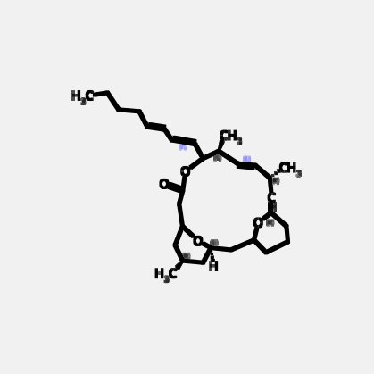 CCCCC=C/C=C/C1OC(=O)CC2C[C@H](C)C[C@H](CC3CCC[C@H](C[C@@H](C)/C=C/[C@@H]1C)O3)O2